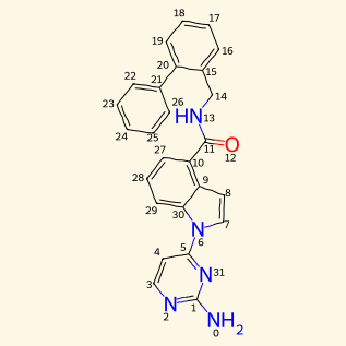 Nc1nccc(-n2ccc3c(C(=O)NCc4ccccc4-c4ccccc4)cccc32)n1